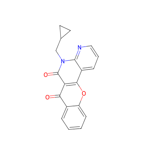 O=c1c2ccccc2oc2c1c(=O)n(CC1CC1)c1ncccc21